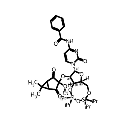 CCOC1(O[C@@H]2[C@@H]3O[Si](C(C)C)(C(C)C)O[Si](C(C)C)(C(C)C)OC[C@H]3O[C@H]2n2ccc(NC(=O)c3ccccc3)nc2=O)C(=O)C2C(C1=O)C2(C)C